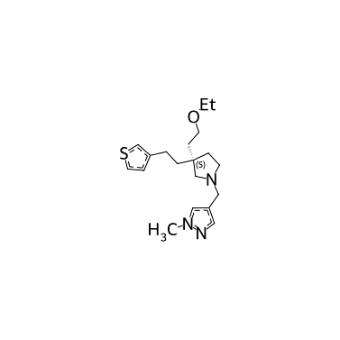 CCOCC[C@]1(CCc2ccsc2)CCN(Cc2cnn(C)c2)C1